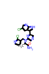 C[C@H](C(N)=O)N(Cc1cccnc1Cl)c1cncc(-c2c[nH]c3ncc(Cl)cc23)n1